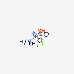 CN(C)CCc1nnc(CO)n1-c1ccc(F)cc1C(=O)c1ccccc1Cl